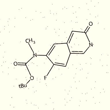 CN(C(=O)OC(C)(C)C)c1cc2c(cc1F)=C[N]C(=O)C=2